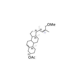 COC/C(C)=C\[C@@H](C)[C@H]1CCC2C3CC=C4C[C@@H](OC(C)=O)CC[C@]4(C)C3CC[C@@]21C